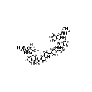 CCNC(=O)N[C@@H](C(=O)N1CCC[C@H]1c1ncc(-c2ccc(-c3ccc4cc(-c5c[nH]c([C@@H]6CCCN6C(=O)[C@@H](NC(=O)OC)C(C)C)n5)ccc4n3)cc2)[nH]1)c1ccccc1